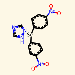 O=[N+]([O-])c1ccc([Se]c2ccc([N+](=O)[O-])cc2)cc1.c1nc[nH]n1